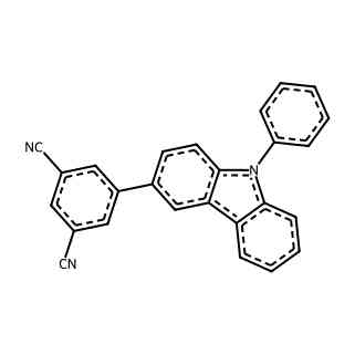 N#Cc1cc(C#N)cc(-c2ccc3c(c2)c2ccccc2n3-c2ccccc2)c1